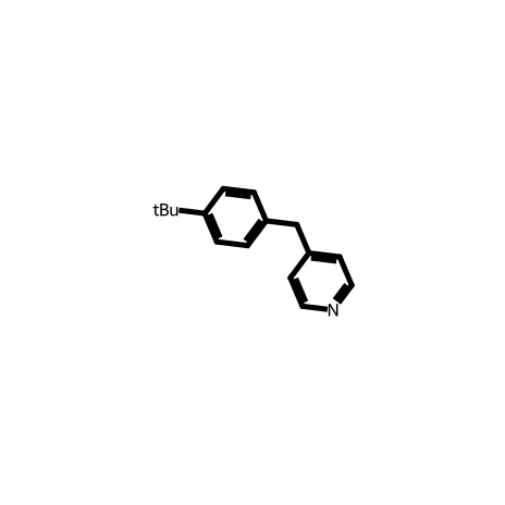 CC(C)(C)c1ccc(Cc2ccncc2)cc1